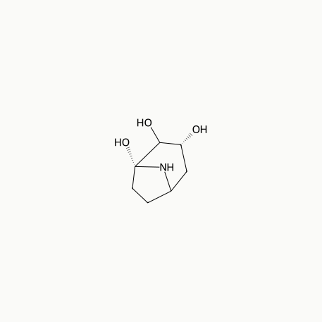 OC1[C@H](O)CC2CC[C@]1(O)N2